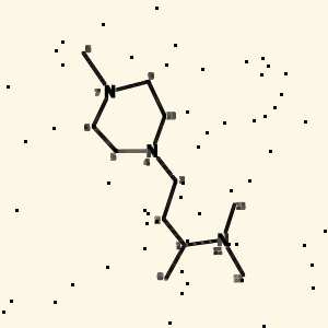 CC(CCN1CCN(C)CC1)N(C)C